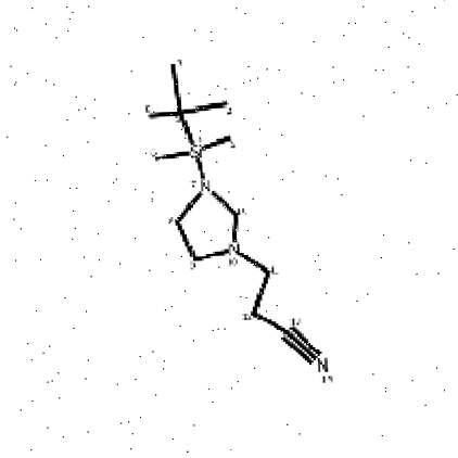 CC(C)(C)[Si](C)(C)N1CCN(CCC#N)C1